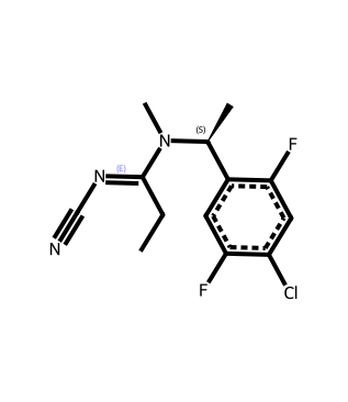 CC/C(=N\C#N)N(C)[C@@H](C)c1cc(F)c(Cl)cc1F